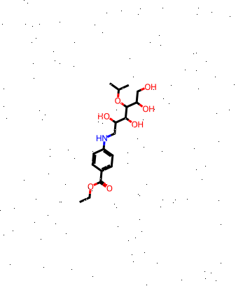 CCOC(=O)c1ccc(NCC(O)C(O)C(OC(C)C)C(O)CO)cc1